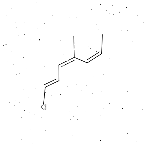 C\C=C/C(C)=C\C=C\Cl